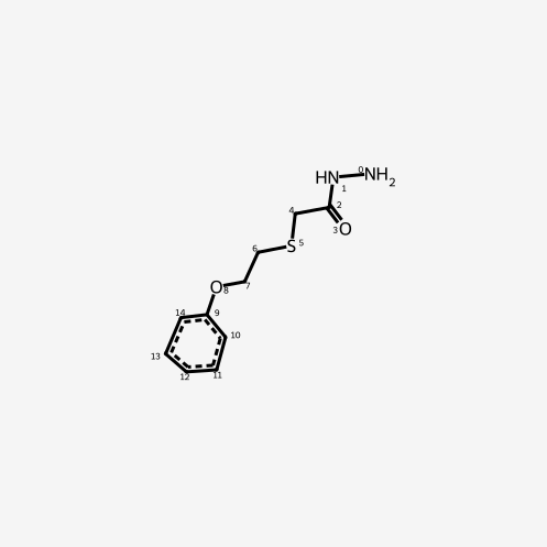 NNC(=O)CSCCOc1ccccc1